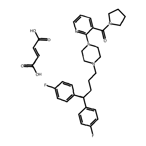 O=C(O)C=CC(=O)O.O=C(c1cccnc1N1CCN(CCCC(c2ccc(F)cc2)c2ccc(F)cc2)CC1)N1CCCC1